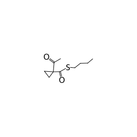 CCCCSC(=O)C1(C(C)=O)CC1